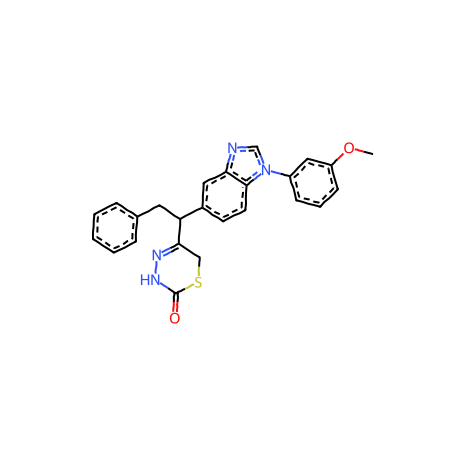 COc1cccc(-n2cnc3cc(C(Cc4ccccc4)C4=NNC(=O)SC4)ccc32)c1